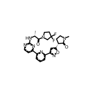 C[C@@H](Nc1nccc(-c2cccc(-c3cc([C@@H]4CCN(C)C4=O)on3)n2)n1)C(=O)N1CCC(F)(F)C1